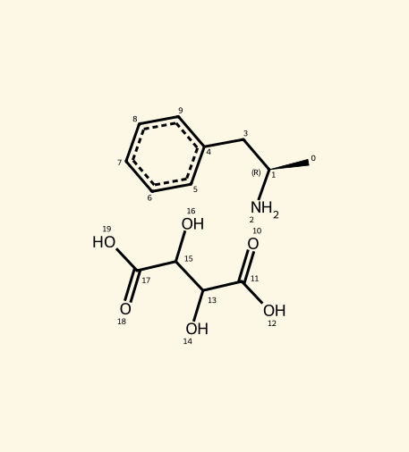 C[C@@H](N)Cc1ccccc1.O=C(O)C(O)C(O)C(=O)O